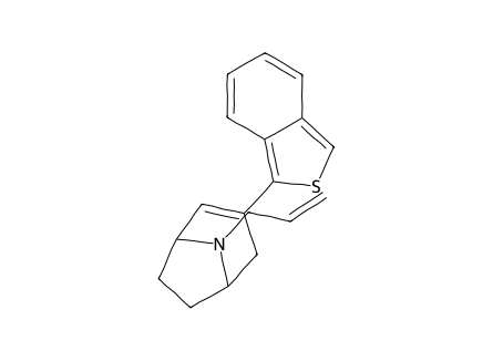 C=CCN1C2C=C(c3scc4ccccc34)CC1CC2